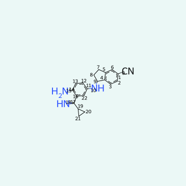 N#Cc1ccc2c(c1)CCC2Nc1ccc(N)c(C(=N)C2CC2)c1